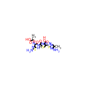 CC1=C(N)N=C(SCC2=C(C(=O)O)N3C(=O)C(NC(=O)/C(=N\O[C@@H](C)C(=O)O)c4csc(N)n4)[C@@H]3SC2)N(N)C1